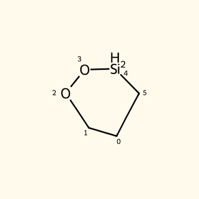 C1COO[SiH2]C1